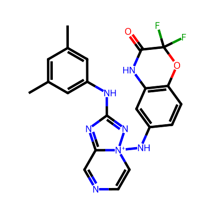 Cc1cc(C)cc(NC2=N[N+]3(Nc4ccc5c(c4)NC(=O)C(F)(F)O5)C=CN=CC3=N2)c1